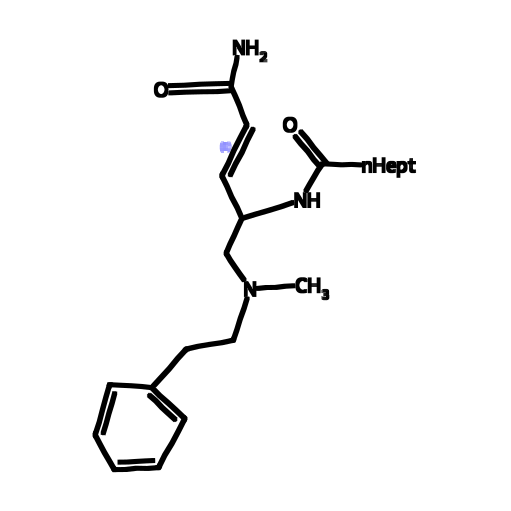 CCCCCCCC(=O)NC(/C=C/C(N)=O)CN(C)CCc1ccccc1